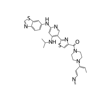 C=NC=CC(=CC)N1CCN(C(=O)c2csc(-c3cnc(Nc4ccc5ncsc5c4)cc3NC(C)C)n2)CC1